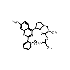 Cc1ccc2c(N3CC[C@@H](CN(C)C(=O)OC(C)C)C3)nc(-c3ccccc3O)nc2c1